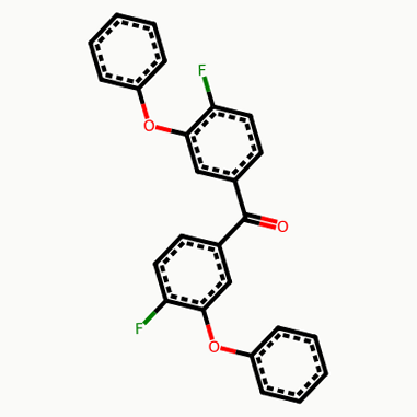 O=C(c1ccc(F)c(Oc2ccccc2)c1)c1ccc(F)c(Oc2ccccc2)c1